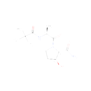 C[C@H](NC(=O)C(C)(C)C)C(=O)N1CC[C@H](O)[C@H]1C(N)=O